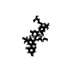 CCOC(=O)C[C@H](NC(=O)C(CC(C)C)n1cc(CCCN(C)C)c(C(F)(F)F)cc1=O)c1c(F)c(-c2c(C)cc(C)cc2F)cc(C(F)(F)F)c1F